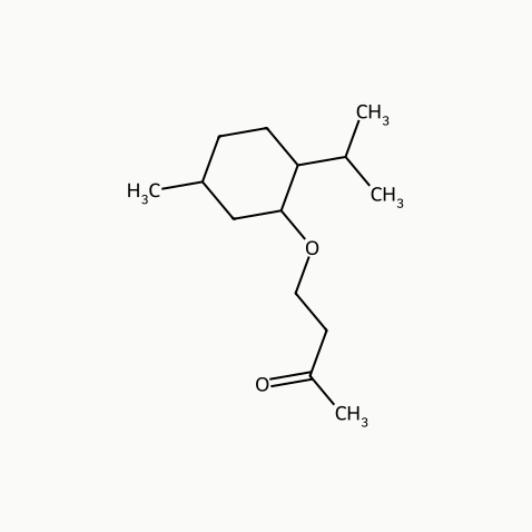 CC(=O)CCOC1CC(C)CCC1C(C)C